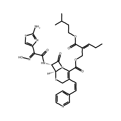 CC/C=C(\COC(=O)C1=C(/C=C\c2cccnc2)CS[C@H]2[C@H](NC(=O)C(=NO)c3csc(N)n3)C(=O)N12)C(=O)OCCC(C)C